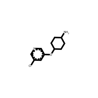 NC1CCC(Oc2cncc(Cl)c2)CC1